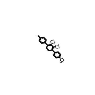 COc1ccc(C2=C(Cl)C(Cl)=C(c3ccc(C)cc3)C[CH]2)cc1